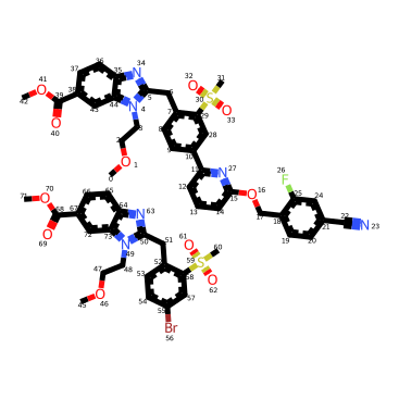 COCCn1c(Cc2ccc(-c3cccc(OCc4ccc(C#N)cc4F)n3)cc2S(C)(=O)=O)nc2ccc(C(=O)OC)cc21.COCCn1c(Cc2ccc(Br)cc2S(C)(=O)=O)nc2ccc(C(=O)OC)cc21